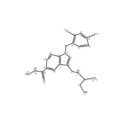 CC(CO)NCc1cn(Cc2ccc(F)cc2F)c2cnc(C(=O)NO)cc12